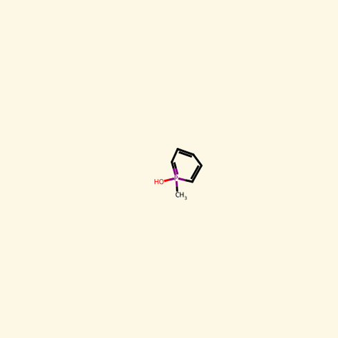 CP1(O)=CC=CC=C1